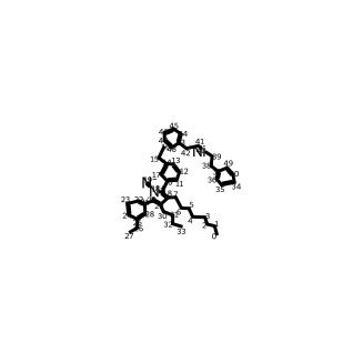 CCCCCCCCC1=C(c2cccc(CC)c2)[N+](=[N-])C(c2cccc(CC)c2)=C1CCCC.c1ccc(C[CH2][Ni][CH2]Cc2ccccc2)cc1